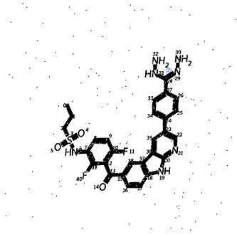 CCCS(=O)(=O)Nc1ccc(F)c(C(=O)c2ccc3[nH]c4ncc(-c5ccc(/C(=N/N)NN)cc5)cc4c3c2)c1F